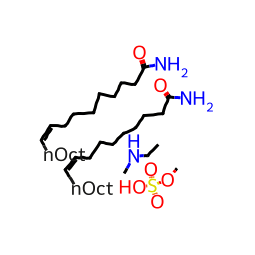 CCCCCCCC/C=C\CCCCCCCC(N)=O.CCCCCCCC/C=C\CCCCCCCC(N)=O.CCNC.COS(=O)(=O)O